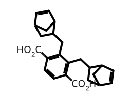 O=C(O)c1ccc(C(=O)O)c(CC2CC3C=CC2C3)c1CC1CC2C=CC1C2